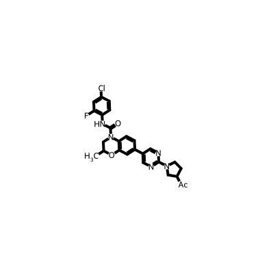 CC(=O)C1CCN(c2ncc(-c3ccc4c(c3)OC(C)CN4C(=O)Nc3ccc(Cl)cc3F)cn2)C1